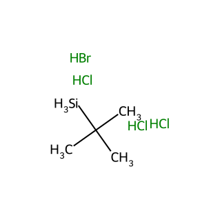 Br.CC(C)(C)[SiH3].Cl.Cl.Cl